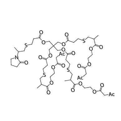 CC(=O)CC(=O)OCCOC(=O)C(C)CSCCC(=O)OCC(COC(=O)CCSCC(C)C(=O)OCCOC(=O)CC(C)=O)(COC(=O)CCSCC(C)C(=O)OCCOC(=O)CC(C)=O)COC(=O)CCSCC(C)N1CCCC1=O